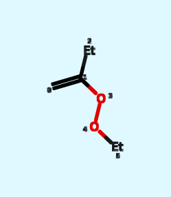 C=C(CC)OOCC